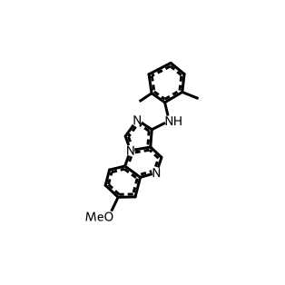 COc1ccc2c(c1)ncc1c(Nc3c(C)cccc3C)ncn12